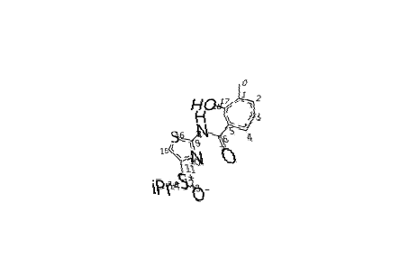 Cc1cccc(C(=O)Nc2nc([S+]([O-])C(C)C)cs2)c1O